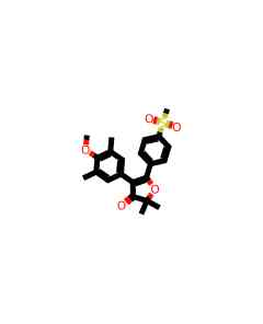 COc1c(C)cc(C2=C(c3ccc(S(C)(=O)=O)cc3)OC(C)(C)C2=O)cc1C